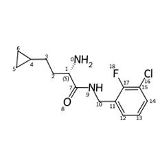 N[C@@H](CCC1CC1)C(=O)NCc1cccc(Cl)c1F